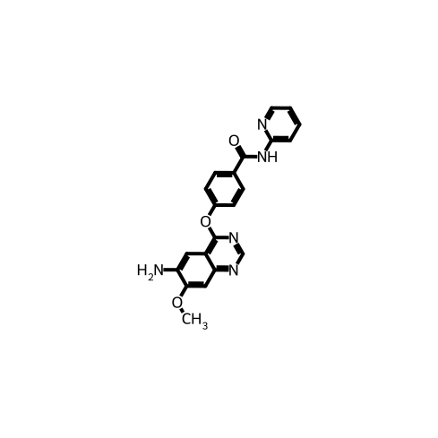 COc1cc2ncnc(Oc3ccc(C(=O)Nc4ccccn4)cc3)c2cc1N